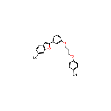 N#Cc1ccc(OCCCOc2cccc(-c3cc4ccc(C#N)cc4o3)c2)cc1